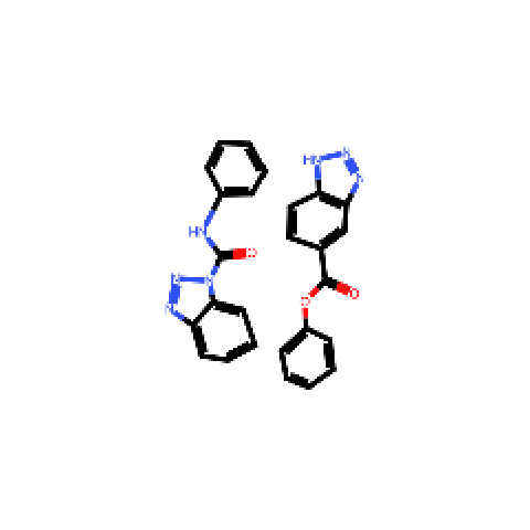 O=C(Nc1ccccc1)n1nnc2ccccc21.O=C(Oc1ccccc1)c1ccc2[nH]nnc2c1